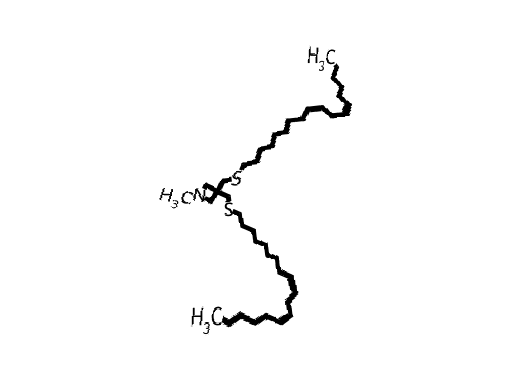 CCCCC/C=C\C/C=C\CCCCCCCCSCC1(CSCCCCCCCC/C=C\C/C=C\CCCCC)CN(C)C1